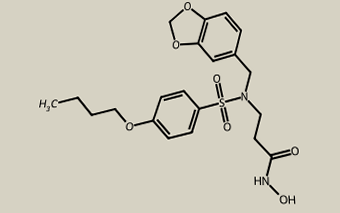 CCCCOc1ccc(S(=O)(=O)N(CCC(=O)NO)Cc2ccc3c(c2)OCO3)cc1